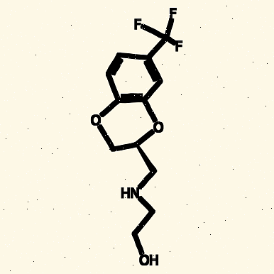 OCCNC[C@H]1COc2ccc(C(F)(F)F)cc2O1